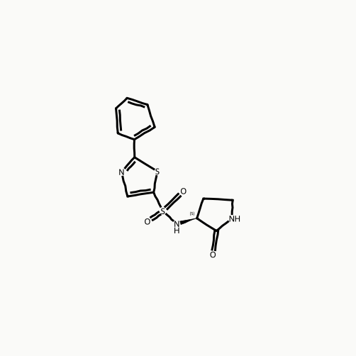 O=C1NCC[C@@H]1NS(=O)(=O)c1cnc(-c2ccccc2)s1